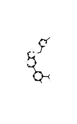 Cc1ccc(Cn2ncc3ncc(-c4ccc(F)c(C(F)F)c4)cc32)s1